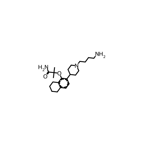 CC(C)(Oc1c(C2CCN(CCCCN)CC2)ccc2c1CCCC2)C(N)=O